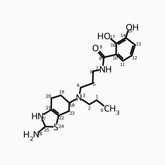 CCCN(CCCNC(=O)c1cccc(O)c1O)C1CCC2=C(C1)SC(N)N2